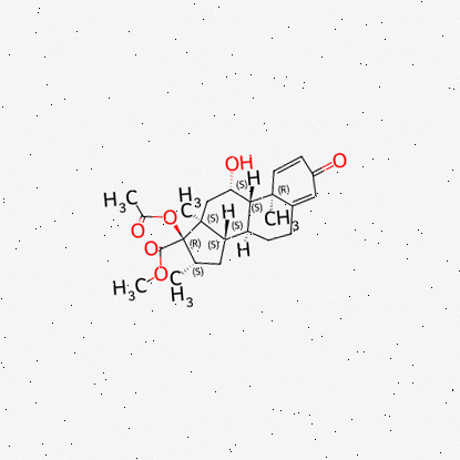 COC(=O)[C@@]1(OC(C)=O)[C@@H](C)C[C@H]2[C@@H]3CCC4=CC(=O)C=C[C@]4(C)[C@H]3[C@@H](O)C[C@@]21C